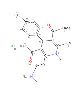 COC(=O)C1=C(C#N)N(C)C(CCN(C)C)=C(C(=O)OC)C1c1ccc(C(F)(F)F)cc1.Cl